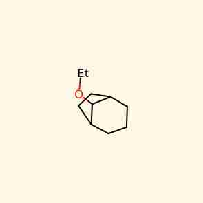 CCOC1C2CCCC1CC2